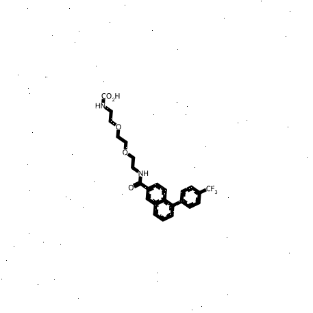 O=C(O)NCCOCCOCCNC(=O)c1ccc2c(-c3ccc(C(F)(F)F)cc3)cccc2c1